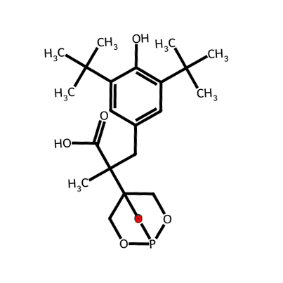 CC(C)(C)c1cc(CC(C)(C(=O)O)C23COP(OC2)OC3)cc(C(C)(C)C)c1O